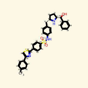 O=S(=O)(Nc1ccc(C[C@@H]2CC[C@H](C(O)c3ccccc3)N2)cc1)c1ccc(-c2nc(-c3ccc(C(F)(F)F)cc3)cs2)cc1